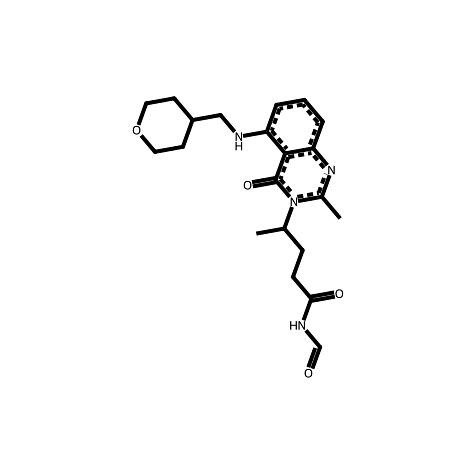 Cc1nc2cccc(NCC3CCOCC3)c2c(=O)n1C(C)CCC(=O)NC=O